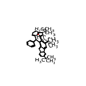 CC(C)(C)c1ccc2c(c1)-c1cc(C(C)(C)C)c(C3=CC([Si](C)(C)C)=CC3)c(C(c3ccccc3)c3ccccc3)c1C2